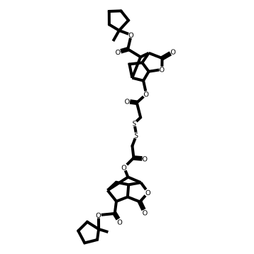 CC1(OC(=O)C2C3CC4C(OC(=O)C42)C3OC(=O)CSSCC(=O)OC2C3CC4C2OC(=O)C4C3C(=O)OC2(C)CCCC2)CCCC1